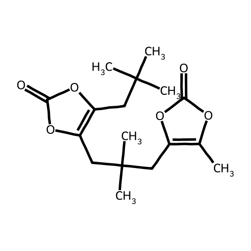 Cc1oc(=O)oc1CC(C)(C)Cc1oc(=O)oc1CC(C)(C)C